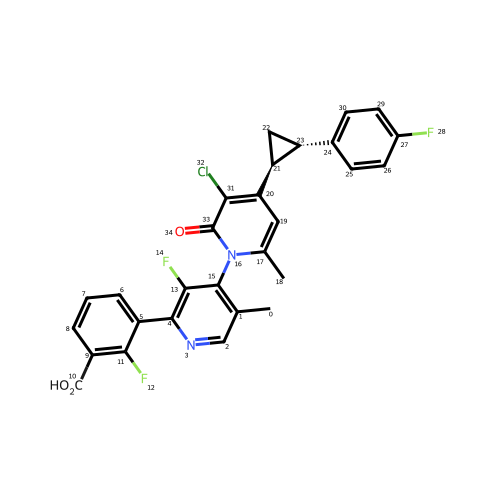 Cc1cnc(-c2cccc(C(=O)O)c2F)c(F)c1-n1c(C)cc([C@H]2C[C@@H]2c2ccc(F)cc2)c(Cl)c1=O